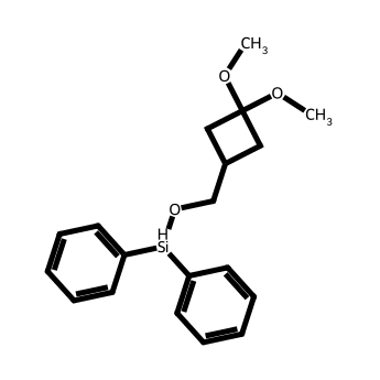 COC1(OC)CC(CO[SiH](c2ccccc2)c2ccccc2)C1